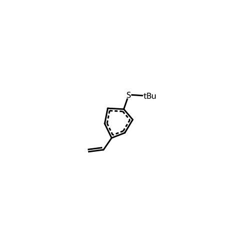 C=Cc1ccc(SC(C)(C)C)cc1